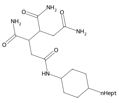 CCCCCCCC1CCC(NC(=O)CC(C(N)=O)C(CC(N)=O)C(N)=O)CC1